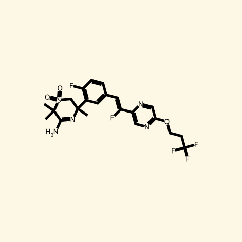 CC1(c2cc(C=C(F)c3cnc(OCCC(F)(F)F)cn3)ccc2F)CS(=O)(=O)C(C)(C)C(N)=N1